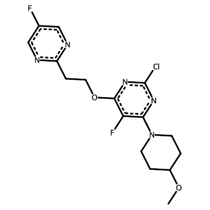 COC1CCN(c2nc(Cl)nc(OCCc3ncc(F)cn3)c2F)CC1